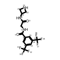 O=C(CNC(=O)c1cc(C(F)(F)F)cc(C(F)(F)F)c1)NC1CNC1